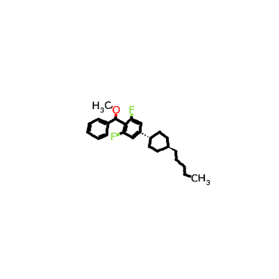 CCCCC[C@H]1CC[C@H](c2cc(F)c(C(OC)c3ccccc3)c(F)c2)CC1